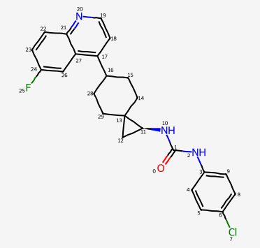 O=C(Nc1ccc(Cl)cc1)N[C@H]1CC12CCC(c1ccnc3ccc(F)cc13)CC2